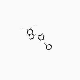 COc1cc2nccc(Oc3ccc(OCc4ccccc4)cc3C(C)=O)c2cc1OC